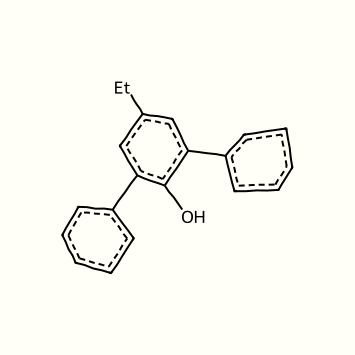 CCc1cc(-c2ccccc2)c(O)c(-c2ccccc2)c1